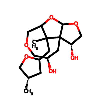 C[C@@H]1COC(CC2(C)C3COC[C@H](O)CC24C(OC[C@@H]4O)O3)C1